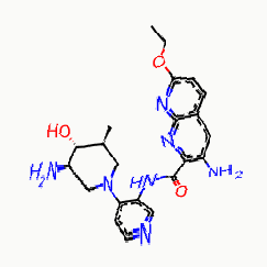 CCOc1ccc2cc(N)c(C(=O)Nc3cnccc3N3C[C@@H](N)[C@H](O)[C@@H](C)C3)nc2n1